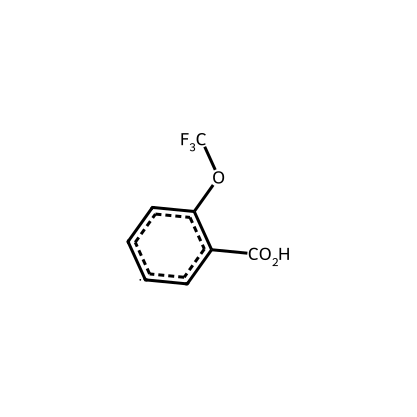 O=C(O)c1c[c]ccc1OC(F)(F)F